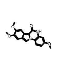 COc1ccc2c(c1)[nH]c(=O)c1c3cc(OC)c(OC)cc3cn21